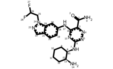 NC(=O)c1nnc(N[C@@H]2CCCC[C@@H]2N)nc1Nc1ccc2cnn(CC(F)F)c2c1